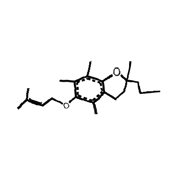 CCCC1(C)CCc2c(C)c(OCC=C(C)C)c(C)c(C)c2O1